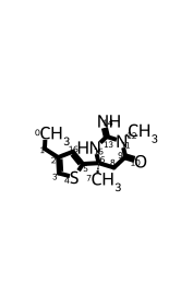 CCc1csc([C@]2(C)CC(=O)N(C)C(=N)N2)c1